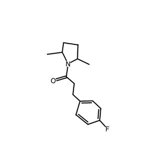 CC1CCC(C)N1C(=O)CCc1ccc(F)cc1